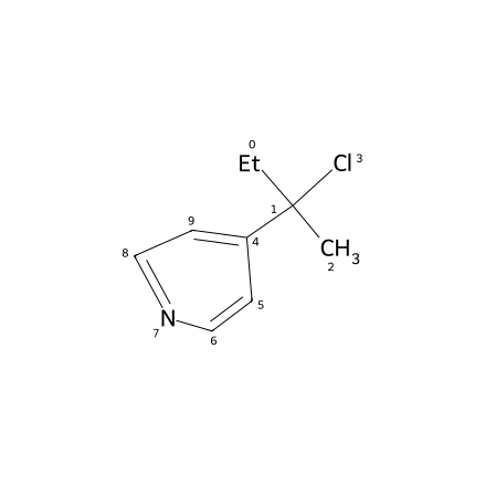 CCC(C)(Cl)c1ccncc1